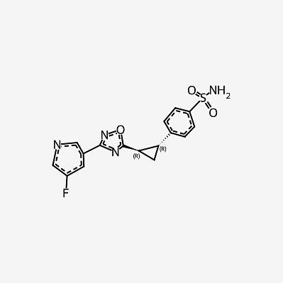 NS(=O)(=O)c1ccc([C@@H]2C[C@H]2c2nc(-c3cncc(F)c3)no2)cc1